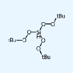 CC(C)(C)OO[SiH](OOC(C)(C)C)OOC(C)(C)C